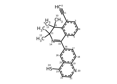 C#Cc1cccc2c1C(C)(C)C(C)(C)N=C2c1ccc2nccc(S)c2c1